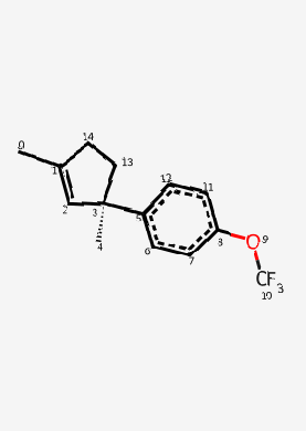 CC1=C[C@](C)(c2ccc(OC(F)(F)F)cc2)CC1